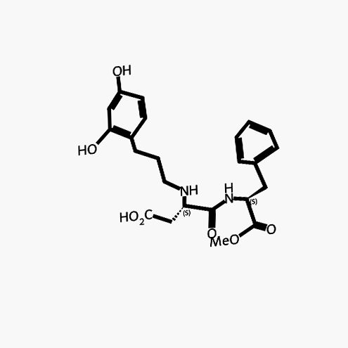 COC(=O)[C@H](Cc1ccccc1)NC(=O)[C@H](CC(=O)O)NCCCc1ccc(O)cc1O